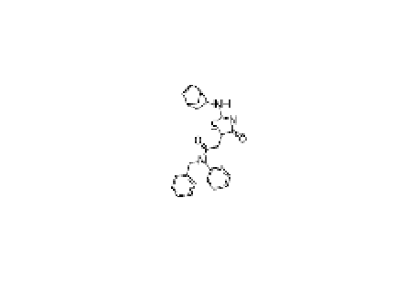 O=C1N=C(NC2CC3C=CC2C3)SC1CC(=O)N(Cc1ccccc1)c1ccccc1